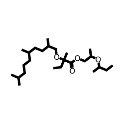 CCC(C)OC(C)COC(=O)C(C)(CC)OCC(C)CCC(C)CCCC(C)C